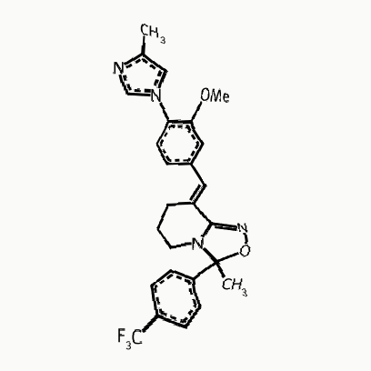 COc1cc(C=C2CCCN3C2=NOC3(C)c2ccc(C(F)(F)F)cc2)ccc1-n1cnc(C)c1